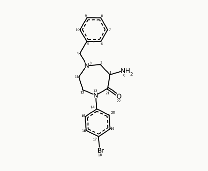 NC1CN(Cc2ccccc2)CCN(c2ccc(Br)cc2)C1=O